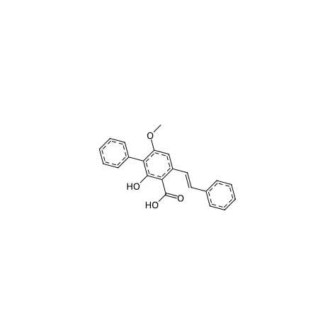 COc1cc(C=Cc2ccccc2)c(C(=O)O)c(O)c1-c1ccccc1